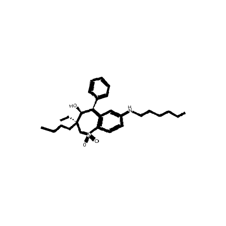 CCCCCCNc1ccc2c(c1)[C@H](c1ccccc1)[C@H](O)[C@](CC)(CCCC)CS2(=O)=O